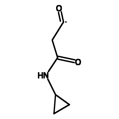 O=[C]CC(=O)NC1CC1